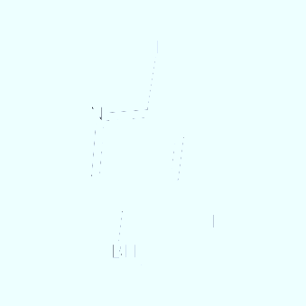 Bc1cnc(I)cc1I